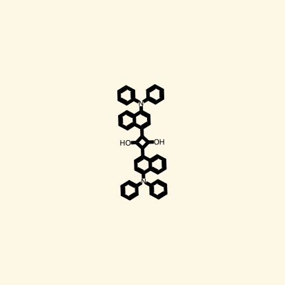 OC1C(c2ccc(N(c3ccccc3)c3ccccc3)c3ccccc23)C(O)C1c1ccc(N(c2ccccc2)c2ccccc2)c2ccccc12